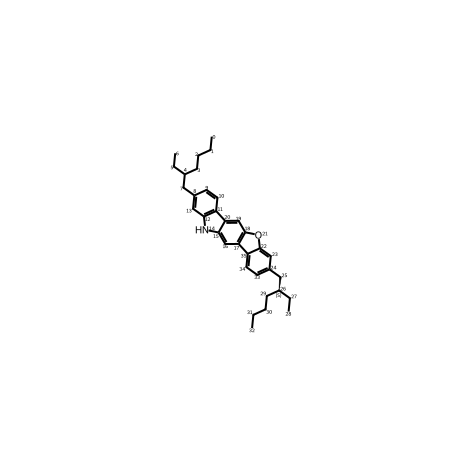 CCCCC(CC)Cc1ccc2c(c1)[nH]c1cc3c(cc12)oc1cc(C[C@@H](CC)CCCC)ccc13